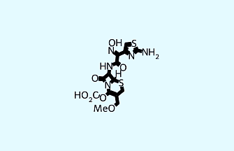 COCC1=C(OC(=O)O)N2C(=O)C(NC(=O)C(=NO)c3csc(N)n3)[C@@H]2SC1